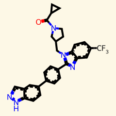 O=C(C1CC1)N1CCC(Cn2c(-c3ccc(-c4ccc5[nH]ncc5c4)cc3)nc3cc(C(F)(F)F)ccc32)C1